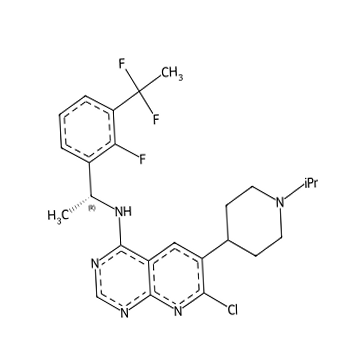 CC(C)N1CCC(c2cc3c(N[C@H](C)c4cccc(C(C)(F)F)c4F)ncnc3nc2Cl)CC1